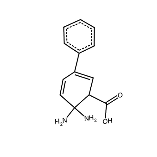 NC1(N)C=CC(c2ccccc2)=CC1C(=O)O